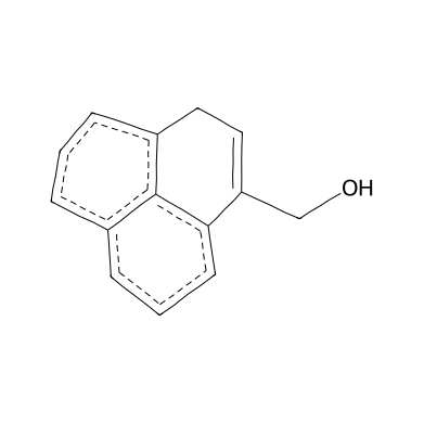 OCC1=CCc2cccc3cccc1c23